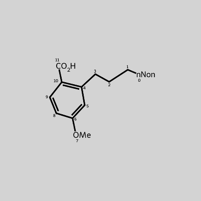 CCCCCCCCCCCCc1cc(OC)ccc1C(=O)O